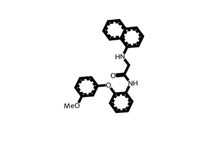 COc1cccc(Oc2ccccc2NC(=O)CNc2cccc3ccccc23)c1